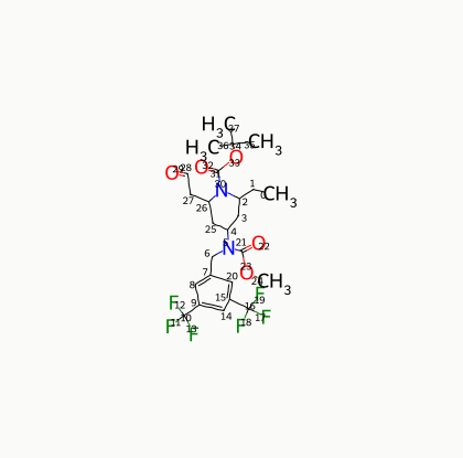 CCC1CC(N(Cc2cc(C(F)(F)F)cc(C(F)(F)F)c2)C(=O)OC)CC(CC=O)N1C(=O)OC(C)(C)C